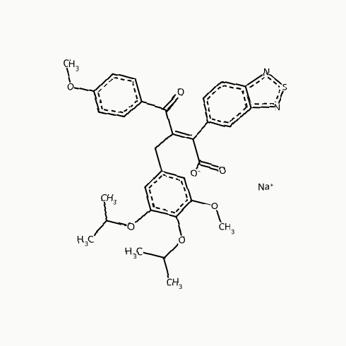 COc1ccc(C(=O)C(Cc2cc(OC)c(OC(C)C)c(OC(C)C)c2)=C(C(=O)[O-])c2ccc3nsnc3c2)cc1.[Na+]